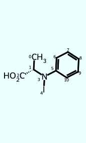 C[C@@H](C(=O)O)N(I)c1ccccc1